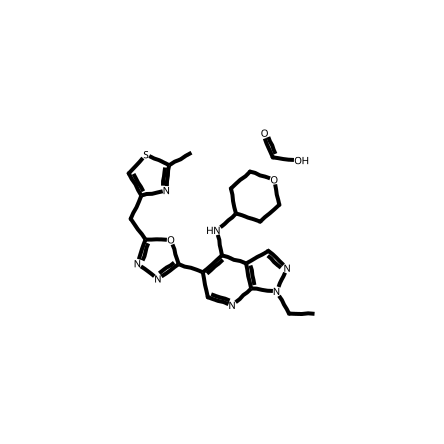 CCn1ncc2c(NC3CCOCC3)c(-c3nnc(Cc4csc(C)n4)o3)cnc21.O=CO